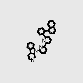 C1=CC2c3ccccc3N(c3cccc(-c4cccc(-c5ccccc5-c5cccc6ccccc56)n4)n3)C2C=N1